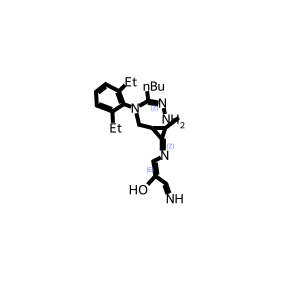 CCCC/C(=N/N)N(CC1/C(=N\C=C(\O)C=N)C1C)c1c(CC)cccc1CC